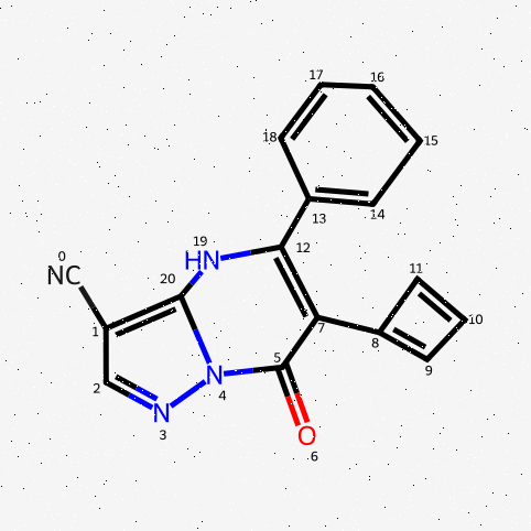 N#Cc1cnn2c(=O)c(C3=CC=C3)c(-c3ccccc3)[nH]c12